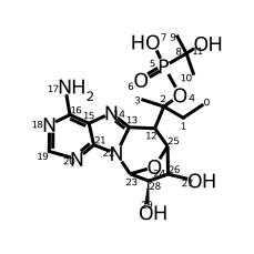 CCC(C)(OP(=O)(O)C(C)(C)O)C1c2nc3c(N)ncnc3n2C2OC1C(O)[C@H]2O